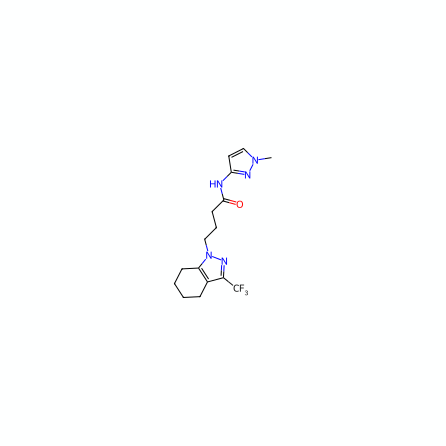 Cn1ccc(NC(=O)CCCn2nc(C(F)(F)F)c3c2CCCC3)n1